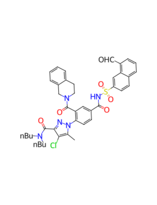 CCCCN(CCCC)C(=O)c1nn(-c2ccc(C(=O)NS(=O)(=O)c3ccc4cccc(C=O)c4c3)cc2C(=O)N2CCc3ccccc3C2)c(C)c1Cl